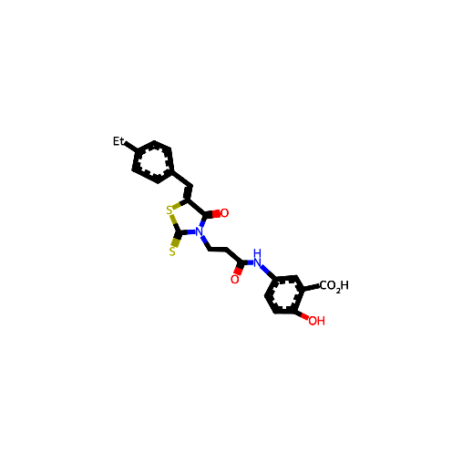 CCc1ccc(/C=C2\SC(=S)N(CCC(=O)Nc3ccc(O)c(C(=O)O)c3)C2=O)cc1